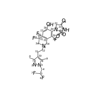 Cc1nn(CC(F)F)c(C)c1CCN1Cc2c(cc(O)c(N3CC(=O)NS3(=O)=O)c2F)C(F)(F)C1